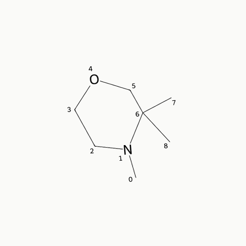 CN1CCOCC1(C)C